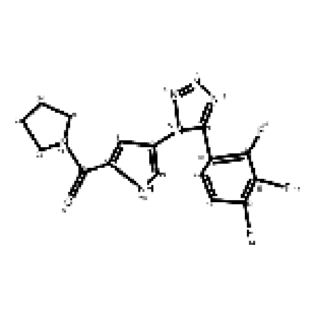 O=C(c1cc(-n2nnnc2-c2ccc(F)c(F)c2F)c[nH]1)N1CCCC1